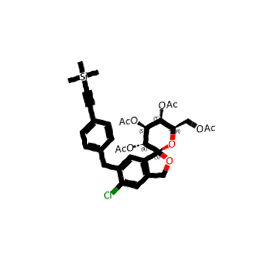 CC(=O)OC[C@H]1O[C@]2(OCc3cc(Cl)c(Cc4ccc(C#C[Si](C)(C)C)cc4)cc32)[C@H](OC(C)=O)[C@@H](OC(C)=O)[C@H]1OC(C)=O